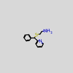 NCCSC(c1ccccc1)c1ccccn1